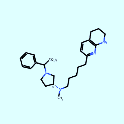 CN(CCCCCc1ccc2c(n1)NCCC2)[C@@H]1CCN(C(C(=O)O)c2ccccc2)C1